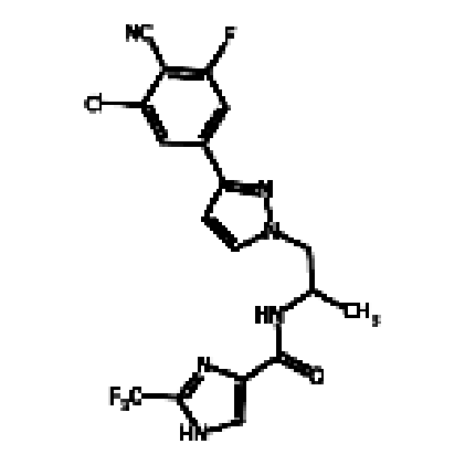 CC(Cn1ccc(-c2cc(F)c(C#N)c(Cl)c2)n1)NC(=O)c1c[nH]c(C(F)(F)F)n1